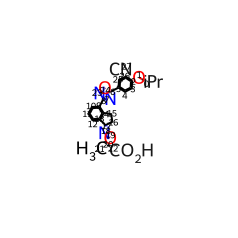 CC(C)Oc1ccc(-c2nc(-c3cccc4c3CC/C4=N\OC(C)C(=O)O)no2)cc1C#N